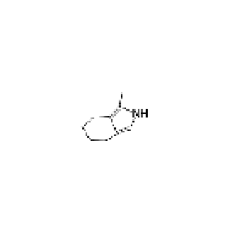 Cc1[nH]cc2c1CCCC2